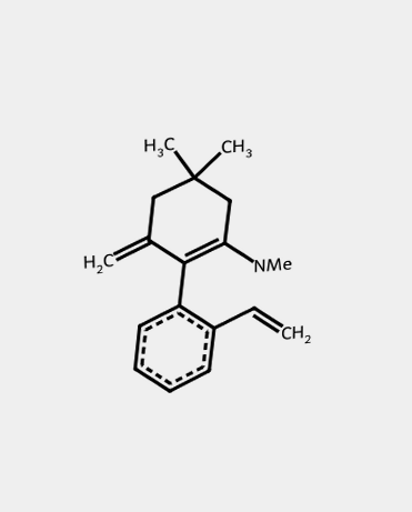 C=Cc1ccccc1C1=C(NC)CC(C)(C)CC1=C